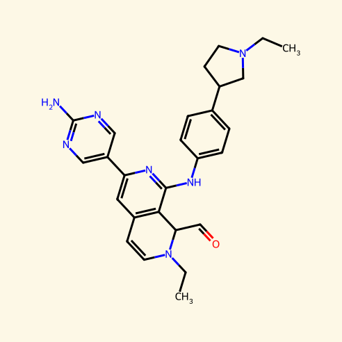 CCN1CCC(c2ccc(Nc3nc(-c4cnc(N)nc4)cc4c3C(C=O)N(CC)C=C4)cc2)C1